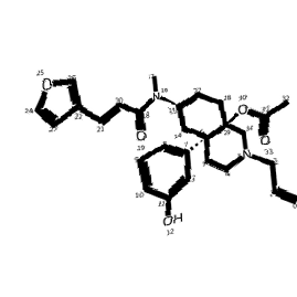 C=CCN1CC[C@@]2(c3cccc(O)c3)C[C@@H](N(C)C(=O)/C=C/c3ccoc3)CC[C@]2(OC(C)=O)C1